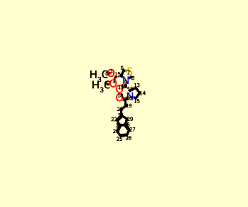 COC(OC)[C@@H]1CSCN1C(=O)[C@@H]1CCCN1C(=O)CCC1=Cc2ccccc2C1